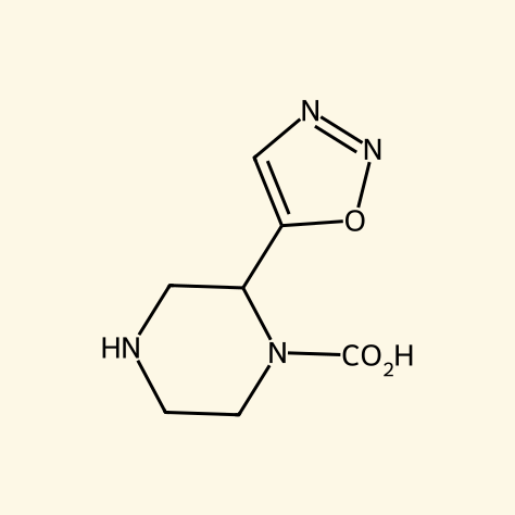 O=C(O)N1CCNCC1c1cnno1